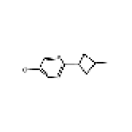 [CH2]C1CC(c2ccc(Cl)cc2)C1